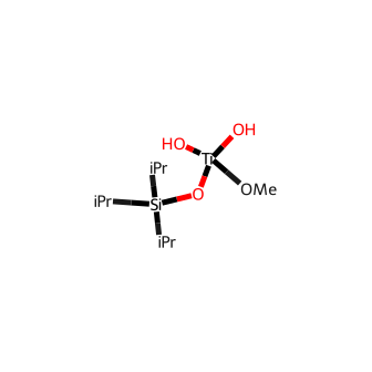 C[O][Ti]([OH])([OH])[O][Si](C(C)C)(C(C)C)C(C)C